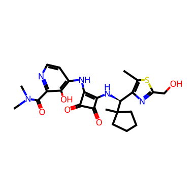 Cc1sc(CO)nc1[C@H](Nc1c(Nc2ccnc(C(=O)N(C)C)c2O)c(=O)c1=O)C1(C)CCCC1